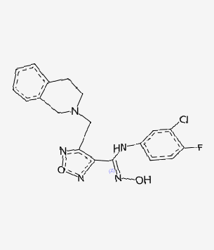 O/N=C(\Nc1ccc(F)c(Cl)c1)c1nonc1CN1CCc2ccccc2C1